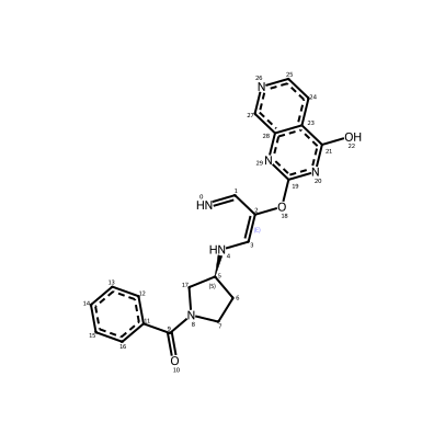 N=C/C(=C\N[C@H]1CCN(C(=O)c2ccccc2)C1)Oc1nc(O)c2ccncc2n1